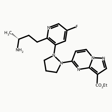 CCOC(=O)c1cnn2ccc(N3CCCN3c3cc(F)cnc3CC[C@@H](C)N)nc12